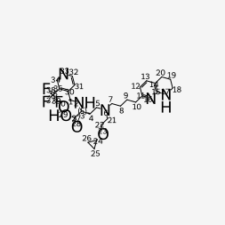 O=C(N[C@@H](CCN(CCCCc1ccc2c(n1)NCCC2)CCOC1CC1)C(=O)O)c1ccncc1C(F)(F)F